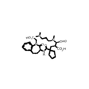 CN(C)CCCN(C)C(C=O)C(CC1(C(=O)NC2CCc3ccccc3N(CC(=O)O)C2=O)CCCC1)C(=O)O